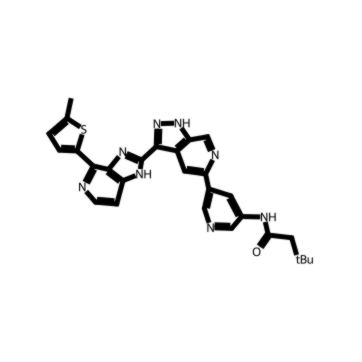 Cc1ccc(-c2nccc3[nH]c(-c4n[nH]c5cnc(-c6cncc(NC(=O)CC(C)(C)C)c6)cc45)nc23)s1